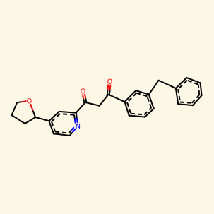 O=C(CC(=O)c1cc(C2CCCO2)ccn1)c1cccc(Cc2ccccc2)c1